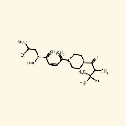 C=C(/C=C\C(=C)N1CCN(C(=O)C(C)C(C)(C)CC)CC1)N(C=O)CC(CC)OC